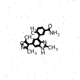 Cc1nc2c(-c3cc(C(N)=O)ccc3C)cc(-c3c(C)noc3C)cc2[nH]1